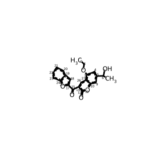 CCOc1cc(C(C)O)cc2oc(=O)c(C(=O)c3cc4ccccc4o3)cc12